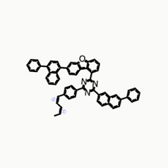 C/C=C\C=C/c1ccc(-c2nc(-c3ccc4ccc(-c5ccccc5)cc4c3)nc(-c3cccc4oc5cc(-c6ccc(-c7ccccc7)c7ccccc67)ccc5c34)n2)cc1